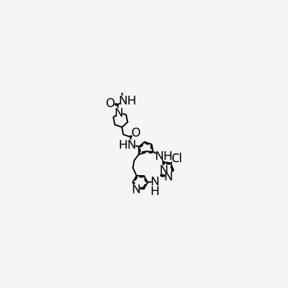 CNC(=O)N1CCC(CC(=O)Nc2ccc3cc2CCc2cncc(c2)Nc2ncc(Cl)c(n2)N3)CC1